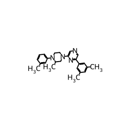 Cc1cc(C)cc(-c2cncc(N3CCN(c4cccc(C)c4)C(C)C3)n2)c1